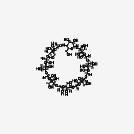 OCC1O[C@@H]2O[C@@H]3C(CO)O[C@H](O[C@@H]4C(CO)O[C@H](O[C@@H]5C(CO)O[C@H](O[C@@H]6C(CO)O[C@H](O[C@@H]7C(CO)O[C@H](O[C@@H]8C(CO)O[C@H](O[C@@H]9C(CO)O[C@H](O[C@H]1C(O)C2O)C(O)C9O)C(O)C8O)C(O)C7O)C(O)C6O)C(O)C5O)C(O)C4O)C(O)C3O